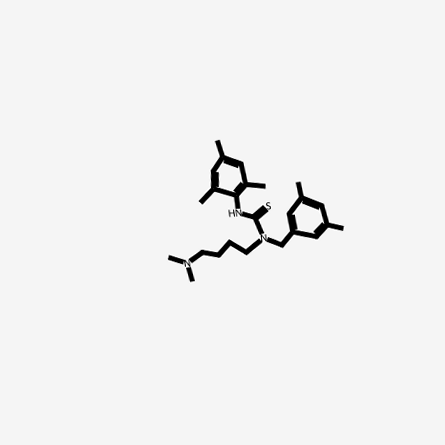 Cc1cc(C)cc(CN(CCCCN(C)C)C(=S)Nc2c(C)cc(C)cc2C)c1